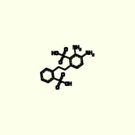 Nc1ccc(CCc2ccccc2S(=O)(=O)O)c(S(=O)(=O)O)c1N